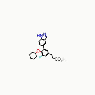 O=C(O)CCc1cc(F)c(OC2CCCCC2)c(-c2ccc3[nH]ncc3c2)c1